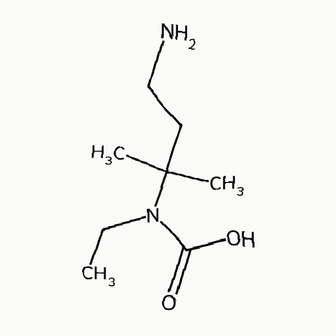 CCN(C(=O)O)C(C)(C)CCN